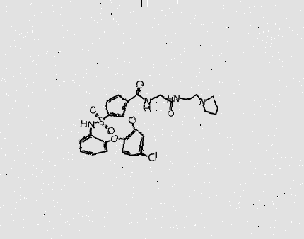 O=C(CNC(=O)c1ccc(S(=O)(=O)Nc2ccccc2Oc2ccc(Cl)cc2Cl)cc1)NCCN1CCCC1